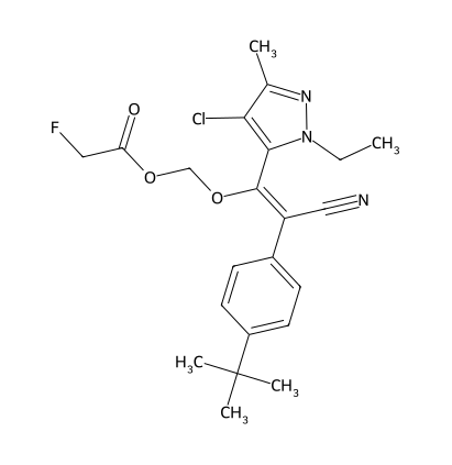 CCn1nc(C)c(Cl)c1/C(OCOC(=O)CF)=C(\C#N)c1ccc(C(C)(C)C)cc1